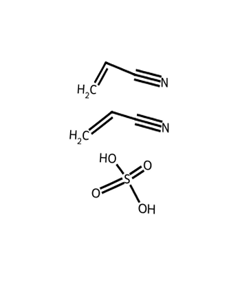 C=CC#N.C=CC#N.O=S(=O)(O)O